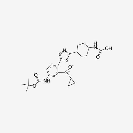 CC(C)(C)OC(=O)Nc1ccc(-c2cnc(C3CCC(NC(=O)O)CC3)s2)c([S+]([O-])C2CC2)c1